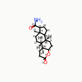 C[C@]12CCC(=O)OC1CC[C@@H]1[C@H]2CC[C@]2(C)C(C(N)=O)CC[C@@H]12